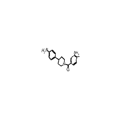 Cc1ccc(C(=O)N2CCC(c3ccc(N)cc3)CC2)cc1N